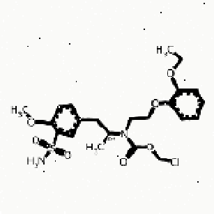 CCOc1ccccc1OCCN(C(=O)OCCl)[C@@H](C)Cc1ccc(OC)c(S(N)(=O)=O)c1